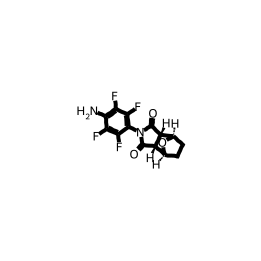 Nc1c(F)c(F)c(N2C(=O)[C@@H]3[C@H](C2=O)[C@H]2CC[C@@H]3O2)c(F)c1F